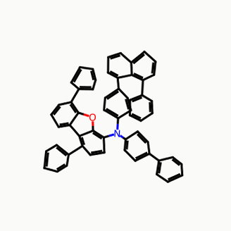 c1ccc(-c2ccc(N(c3ccc(-c4cccc5cccc(-c6ccccc6)c45)cc3)c3ccc(-c4ccccc4)c4c3oc3c(-c5ccccc5)cccc34)cc2)cc1